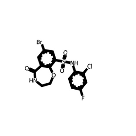 O=C1NCCOc2c1cc(Br)cc2S(=O)(=O)Nc1ccc(F)cc1Cl